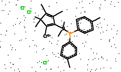 CC1=C(C)C(C)(C)[C]([Cr+3])=C1[Si](C)(C)P(c1ccc(C)cc1)c1ccc(C)cc1.[Cl-].[Cl-].[Cl-]